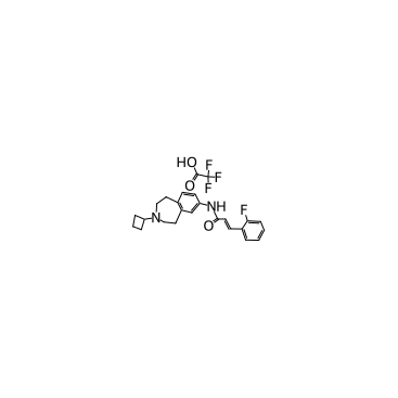 O=C(/C=C/c1ccccc1F)Nc1ccc2c(c1)CCN(C1CCC1)CC2.O=C(O)C(F)(F)F